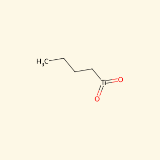 CCC[CH2][Ti](=[O])=[O]